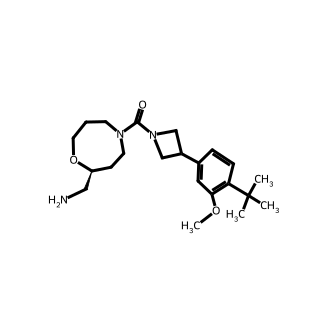 COc1cc(C2CN(C(=O)N3CCCO[C@H](CN)CC3)C2)ccc1C(C)(C)C